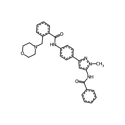 Cn1nc(-c2ccc(NC(=O)c3ccccc3CN3CCOCC3)cc2)cc1NC(=O)c1ccccc1